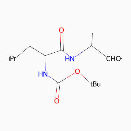 CC(C)CC(NC(=O)OC(C)(C)C)C(=O)NC(C)[C]=O